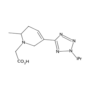 CC1CC=C(c2nnn(C(C)C)n2)CN1CC(=O)O